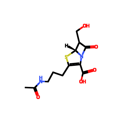 CC(=O)NCCCC1=C(C(=O)O)N2C(=O)C(CO)[C@H]2S1